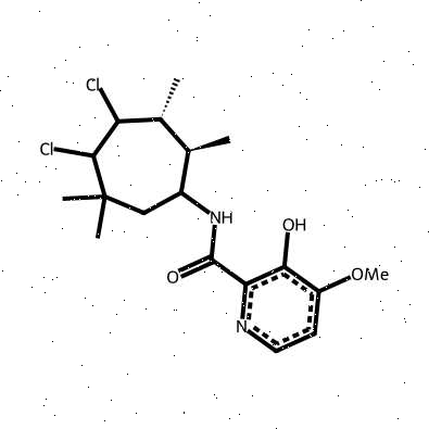 COc1ccnc(C(=O)NC2CC(C)(C)C(Cl)C(Cl)[C@H](C)[C@H]2C)c1O